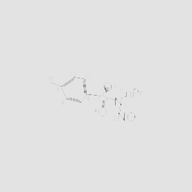 CCCN(N=O)S(=O)(=O)c1ccc(C)cc1